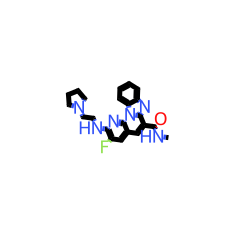 CNC(=O)c1cc2cc(F)c(NCCN3CCCC3)nc2n2c1nc1ccccc12